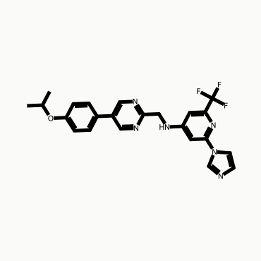 CC(C)Oc1ccc(-c2cnc(CNc3cc(-n4ccnc4)nc(C(F)(F)F)c3)nc2)cc1